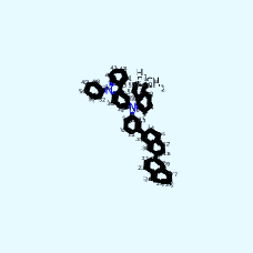 C=Cc1cccc(N(c2cccc(-c3ccc4ccc(-c5ccc6ccccc6c5)cc4c3)c2)c2ccc3c(c2)c2ccccc2n3-c2ccccc2)c1/C=C\C